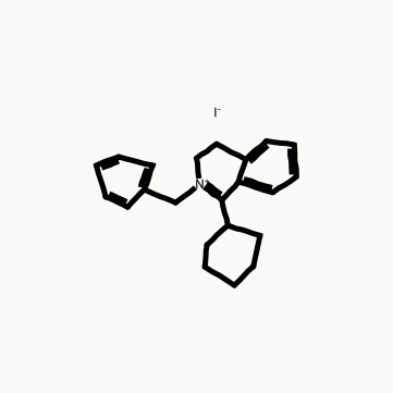 [I-].c1ccc(C[N+]2=C(C3CCCCC3)c3ccccc3CC2)cc1